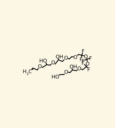 C=CCOCC(O)COCC(O)COCCOCC(F)(F)OC(F)(F)OC(F)(F)COCC(O)COCCO